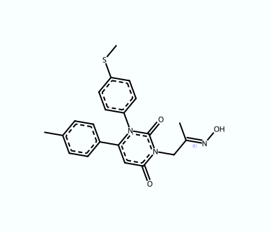 CSc1ccc(-n2c(-c3ccc(C)cc3)cc(=O)n(C/C(C)=N/O)c2=O)cc1